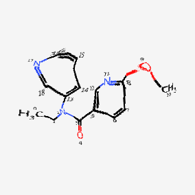 CCN(C(=O)c1ccc(OC)nc1)c1cccnc1